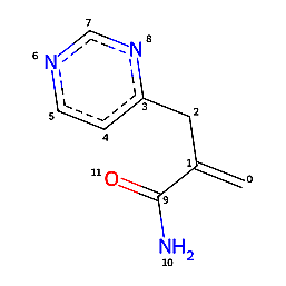 C=C(Cc1ccncn1)C(N)=O